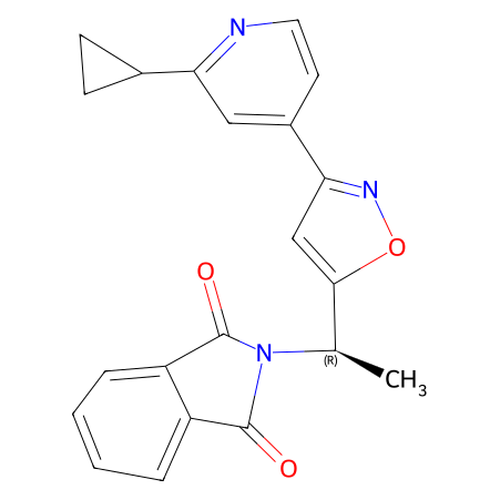 C[C@H](c1cc(-c2ccnc(C3CC3)c2)no1)N1C(=O)c2ccccc2C1=O